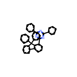 c1ccc(-c2nc(-c3ccccc3)nc(-c3cccc4c3C(c3ccccc3)(c3ccccc3)c3ccccc3-4)n2)cc1